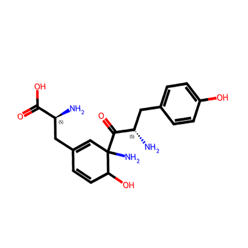 N[C@@H](CC1=CC(N)(C(=O)[C@@H](N)Cc2ccc(O)cc2)C(O)C=C1)C(=O)O